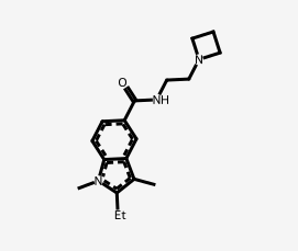 CCc1c(C)c2cc(C(=O)NCCN3CCC3)ccc2n1C